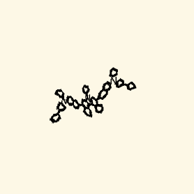 c1ccc(-c2ccc(N(c3ccccc3)c3ccc4cc(-c5cc6c(c7ccccc57)c5c7ccccc7c(-c7ccc8cc(N(c9ccccc9)c9ccc(-c%10ccccc%10)cc9)ccc8c7)cc5n6-c5ccccc5)ccc4c3)cc2)cc1